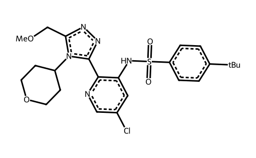 COCc1nnc(-c2ncc(Cl)cc2NS(=O)(=O)c2ccc(C(C)(C)C)cc2)n1C1CCOCC1